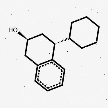 O[C@@H]1Cc2ccccc2[C@@H](C2CCCCC2)C1